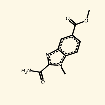 COC(=O)c1ccc2c(c1)nc(C(N)=O)n2C